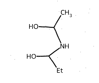 CCC(O)NC(C)O